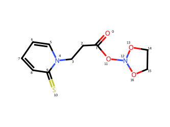 O=C(CCn1ccccc1=S)ON1OCCO1